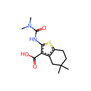 CN(C)C(=O)Nc1sc2c(c1C(=O)O)CC(C)(C)CC2